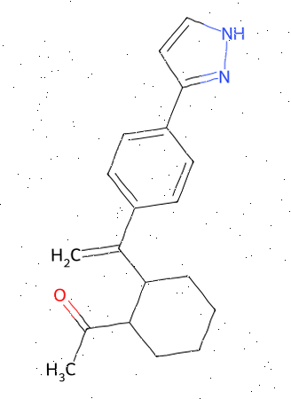 C=C(c1ccc(-c2cc[nH]n2)cc1)C1CCCCC1C(C)=O